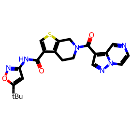 CC(C)(C)c1cc(NC(=O)c2csc3c2CCN(C(=O)c2cnn4ccncc24)C3)no1